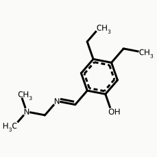 CCc1cc(O)c(C=NCN(C)C)cc1CC